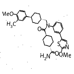 COc1ncc(-c2cccc(N(C[C@H]3CC[C@H](c4ccc(OC)c(C)c4)CC3)C(=O)[C@H]3CC[C@H](C(N)=O)CC3)c2)s1